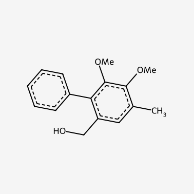 COc1c(C)cc(CO)c(-c2ccccc2)c1OC